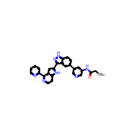 CC(C)(C)CC(=O)Nc1cncc(-c2ccc3[nH]nc(-c4cc5c(-c6ccccn6)nccc5[nH]4)c3c2)c1